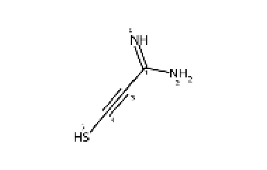 N=C(N)C#CS